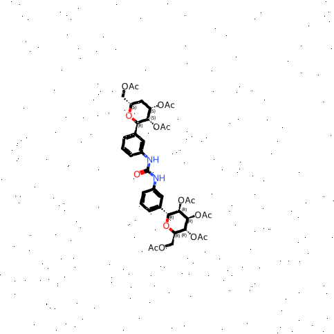 CC(=O)OC[C@@H]1C[C@H](OC(C)=O)[C@H](OC(C)=O)[C@@H](c2cccc(NC(=O)Nc3cccc([C@H]4O[C@H](COC(C)=O)[C@@H](OC(C)=O)[C@H](OC(C)=O)[C@@H]4OC(C)=O)c3)c2)O1